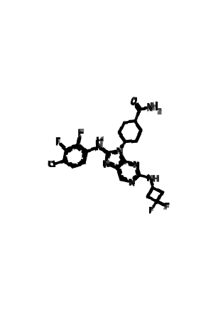 NC(=O)[C@H]1CC[C@@H](n2c(Nc3ccc(Cl)c(F)c3F)nc3cnc(NC4CC(F)(F)C4)nc32)CC1